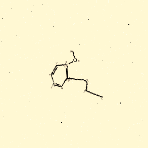 CCCC1C=NC=CN1OC